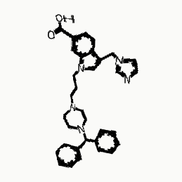 O=C(O)c1ccc2c(Cn3ccnc3)cn(CCCN3CCN(C(c4ccccc4)c4ccccc4)CC3)c2c1